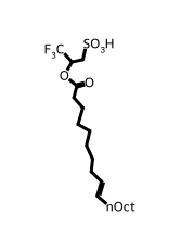 CCCCCCCC/C=C/CCCCCCCC(=O)OC(CS(=O)(=O)O)C(F)(F)F